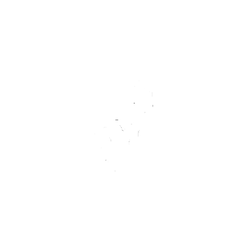 F[C](F)([Zn][Cl])C(F)(F)C(F)(F)C(F)(F)C(F)(F)[C](F)(F)[Zn][Cl]